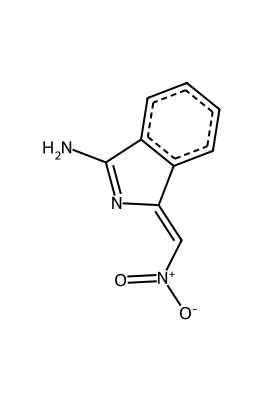 NC1=NC(=C[N+](=O)[O-])c2ccccc21